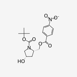 CC(C)(C)OC(=O)N1C[C@@H](O)C[C@H]1COC(=O)c1ccc([N+](=O)[O-])cc1